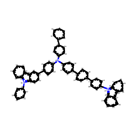 c1ccc(-c2ccc(N(c3ccc(-c4ccc(-c5ccc(-n6c7ccccc7c7ccccc76)cc5)cc4)cc3)c3ccc(-c4ccc5c(c4)c4ccccc4n5-c4ccccc4)cc3)cc2)cc1